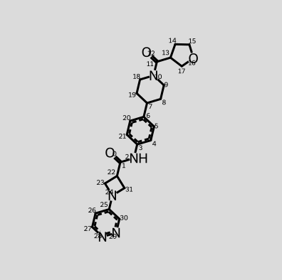 O=C(Nc1ccc(C2CCN(C(=O)C3CCOC3)CC2)cc1)C1CN(c2ccnnc2)C1